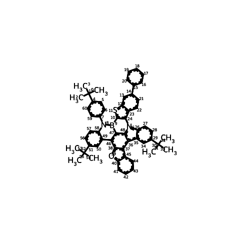 CC(C)(C)c1ccc(N2B3c4sc5cc(-c6ccccc6)ccc5c4-n4c5ccc(C(C)(C)C)cc5c5c6c(oc7ccccc76)c(c3c54)-c3cc(C(C)(C)C)ccc32)cc1